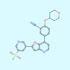 CS(=O)(=O)c1cncc(-c2cc3nccc(-c4ccc(OC5CCOCC5)c(C#N)c4)c3o2)c1